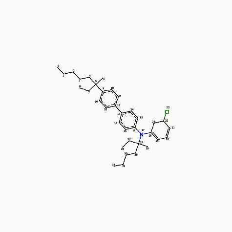 CCCCCC(C)(CC)c1ccc(-c2ccc(N(C3=CC=CC(Cl)C3)C(C)(CC)CCCC)cc2)cc1